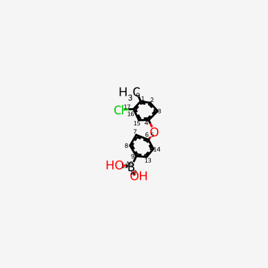 Cc1ccc(Oc2ccc(B(O)O)cc2)cc1Cl